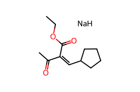 CCOC(=O)C(=CC1CCCC1)C(C)=O.[NaH]